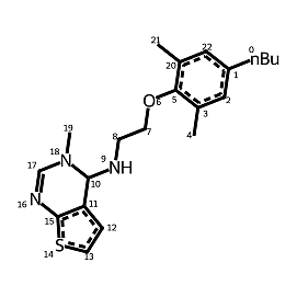 CCCCc1cc(C)c(OCCNC2c3ccsc3N=CN2C)c(C)c1